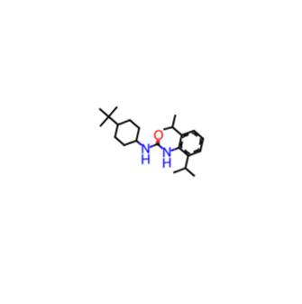 CC(C)c1cccc(C(C)C)c1NC(=O)NC1CCC(C(C)(C)C)CC1